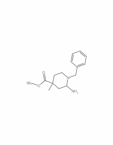 CC(C)(C)OC(=O)C1(C)CCN(Cc2ccccc2)C(N)C1